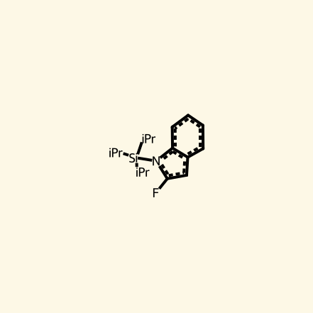 CC(C)[Si](C(C)C)(C(C)C)n1c(F)cc2ccccc21